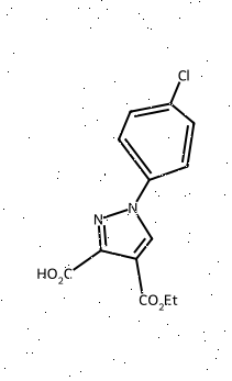 CCOC(=O)c1cn(-c2ccc(Cl)cc2)nc1C(=O)O